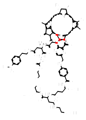 CC[C@H]1c2cc3[nH]c4c(c3C)C(=O)C(C(=O)OC)c4c3nc(cc4[nH]c(cc(n2)[C@@H]1C)c(C(C)=O)c4C)[C@@H](C)[C@@H]3CCC(=O)NC(CC(=O)NCCc1ccc(B(O)O)cc1)C(=O)NNC(=O)OCCSSC[C@H](NC(=O)C(CC(=O)NCCS(=O)(=O)O)NC(=O)CC[C@H](NC(=O)c1ccc(NCc2cnc3nc(N)[nH]c(=O)c3n2)cc1)C(=O)O)C(=O)O